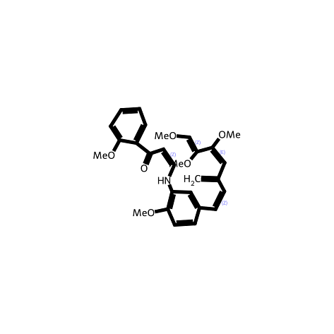 C=C(/C=C\c1ccc(OC)c(N/C=C\C(=O)c2ccccc2OC)c1)/C=C(OC)\C(=C\OC)OC